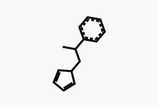 CC(CC1C=CC=C1)c1ccccc1